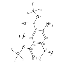 CC(C)(C)OC(=O)c1c(N)cc(C(=O)O)c(C(=O)OC(C)(C)C)c1N